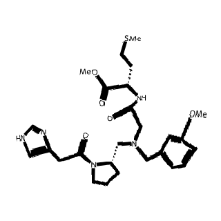 COC(=O)[C@H](CCSC)NC(=O)CN(Cc1cccc(OC)c1)C[C@@H]1CCCN1C(=O)Cc1c[nH]cn1